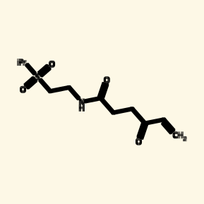 C=CC(=O)CCC(=O)NCCS(=O)(=O)C(C)C